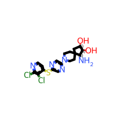 N[C@@H]1[C@H](O)[C@@H](O)CC12CCN(c1cnc(Sc3ccnc(Cl)c3Cl)cn1)CC2